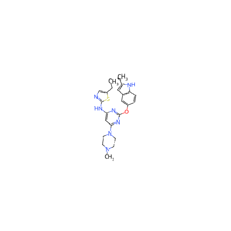 CCc1cnc(Nc2cc(N3CCN(C)CC3)nc(Oc3ccc4[nH]c(C)cc4c3)n2)s1